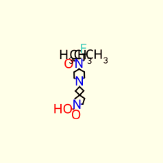 CC(=O)N(CC(C)(C)F)C1CCN(C2CC3(CCN(C(=O)O)C3)C2)CC1